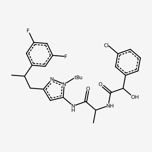 CC(NC(=O)C(O)c1cccc(Cl)c1)C(=O)Nc1cc(CC(C)c2cc(F)cc(F)c2)nn1C(C)(C)C